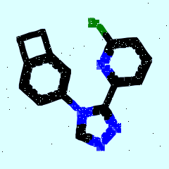 Brc1cccc(-c2nncn2-c2ccc3c(c2)CC3)n1